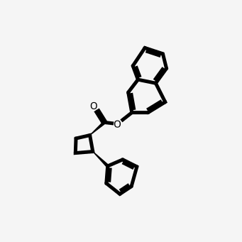 O=C(Oc1ccc2ccccc2c1)[C@@H]1CC[C@@H]1c1ccccc1